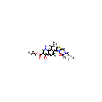 CCOC(=O)c1c[nH]c2c(CC)c(-c3csc(CN(CC)C(C)=O)n3)c(F)cc2c1=O